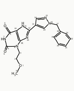 COCCn1c(=O)[nH]c(=O)c2[nH]c(-c3cnn(Cc4ccccc4)c3)nc21